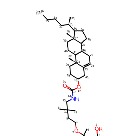 CCC(O)CC(C)(C)OCCC(C)(C)CNC(=O)O[C@H]1CC[C@@]2(C)C(=CCC3C4CCC([C@H](C)CCCC(C)C)[C@@]4(C)CCC32)C1